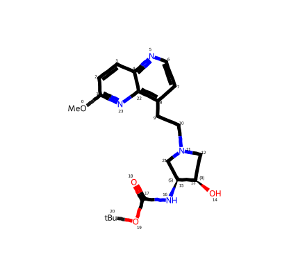 COc1ccc2nccc(CCN3C[C@@H](O)[C@@H](NC(=O)OC(C)(C)C)C3)c2n1